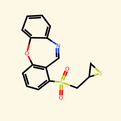 O=S(=O)(CC1CS1)c1cccc2c1C=Nc1ccccc1O2